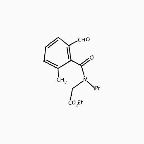 CCOC(=O)CN(C(=O)c1c(C)cccc1C=O)C(C)C